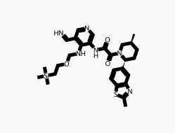 Cc1nc2cc([C@H]3CC[C@H](C)CN3C(=O)C(=O)Nc3cncc(C=N)c3NCOCC[Si](C)(C)C)ccc2s1